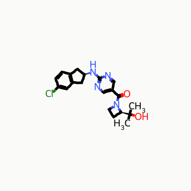 CC(C)(O)[C@H]1CCN1C(=O)c1cnc(N[C@@H]2Cc3ccc(Cl)cc3C2)nc1